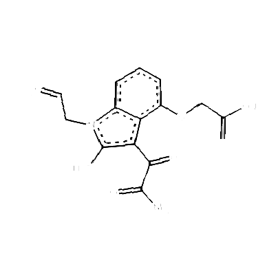 C=CCn1c(C)c(C(=O)C(N)=O)c2c(OCC(=O)O)cccc21